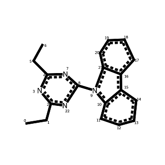 CCc1nc(CC)nc(-n2c3ccccc3c3ccccc32)n1